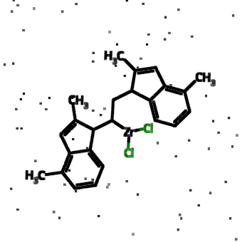 CC1=Cc2c(C)cccc2C1C[CH](C1C(C)=Cc2c(C)cccc21)[Zr]([Cl])[Cl]